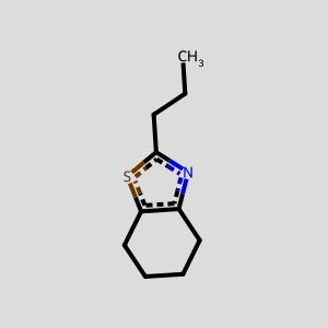 CCCc1nc2c(s1)CCCC2